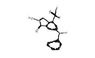 CN1Cc2c(cc(C(O)c3ccccc3)cc2C(F)(F)F)C1=O